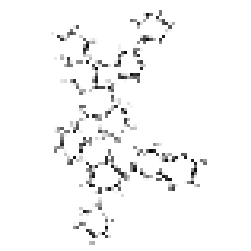 c1ccc(-c2ccc3c(c2)c2c4ccccc4ccc2n3-c2cccc3c2oc2cccc(-c4nc(-c5ccccc5)nc(-c5ccc6ccccc6c5)n4)c23)cc1